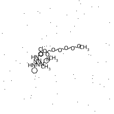 COCCOCCOCCOCCOCCC(=O)Oc1ccc(Nc2nc(NC3CCCCCC3)nc(N(C)C3CCN(C)CC3)n2)cc1Cl